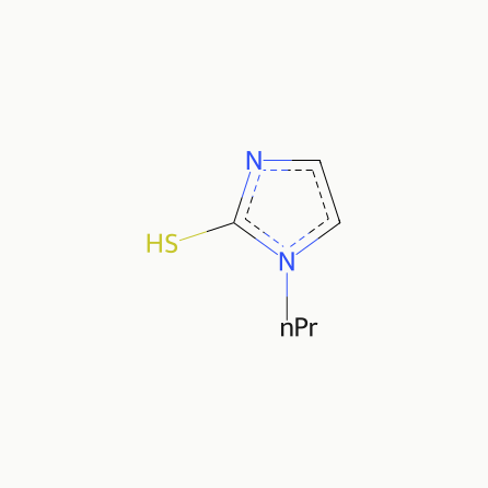 CCCn1ccnc1S